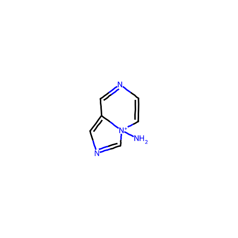 N[N+]12C=CN=CC1=CN=C2